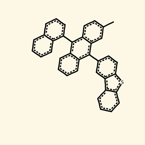 Cc1ccc2c(-c3cccc4ccccc34)c3ccccc3c(-c3ccc4sc5ccccc5c4c3)c2c1